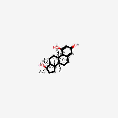 CC(=O)[C@@]1(O)CC[C@H]2[C@@H]3CCC4=CC(=O)C=C(O)[C@]4(C)[C@H]3CC[C@@]21C